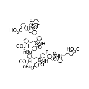 CCCCOc1ccc(S(=O)(=O)Nc2ccccc2CCCc2ccccc2C(=O)O)cc1.CCCCc1ccc(S(=O)(=O)Nc2ccccc2CCCc2ccccc2C(=O)O)cc1.Cc1ccc(F)cc1S(=O)(=O)Nc1ccccc1CCCc1ccccc1C(=O)O.O=C(O)c1ccccc1CCCc1ccccc1NS(=O)(=O)c1c(F)cccc1F